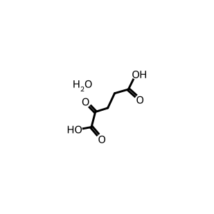 O.O=C(O)CCC(=O)C(=O)O